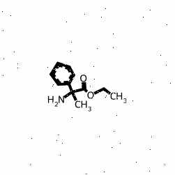 CCOC(=O)C(C)(N)c1ccccc1